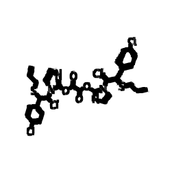 C=CCSC(c1ccc(Cl)cc1)C(Cl)n1ccnc1OC(=O)C(=O)Oc1nccn1C(Cl)C(SCC=C)c1ccc(Cl)cc1